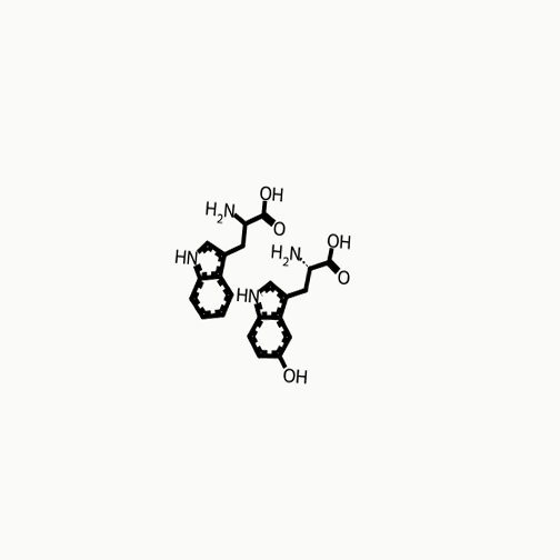 NC(Cc1c[nH]c2ccccc12)C(=O)O.N[C@@H](Cc1c[nH]c2ccc(O)cc12)C(=O)O